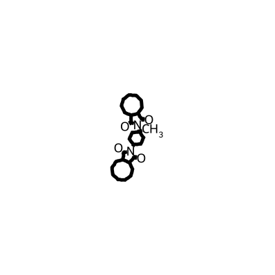 CC1(N2C(=O)C3CCCCCCCC3C2=O)CCC(N2C(=O)C3CCCCCCCC3C2=O)CC1